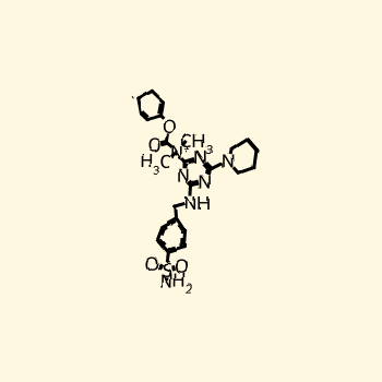 C[N+](C)(C(=O)OC1=CC[CH]C=C1)c1nc(NCc2ccc(S(N)(=O)=O)cc2)nc(N2CCCCC2)n1